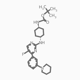 CC(C)(C)OC(=O)N[C@H]1CC[C@H](Nc2ncc(F)c(-c3cccc(N4CCCCC4)c3)n2)CC1